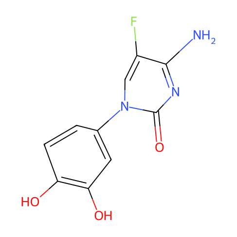 Nc1nc(=O)n(-c2ccc(O)c(O)c2)cc1F